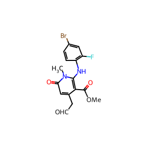 COC(=O)c1c(CC=O)cc(=O)n(C)c1Nc1ccc(Br)cc1F